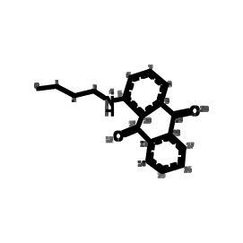 CCCCNc1cccc2c1C(=O)c1ccccc1C2=O